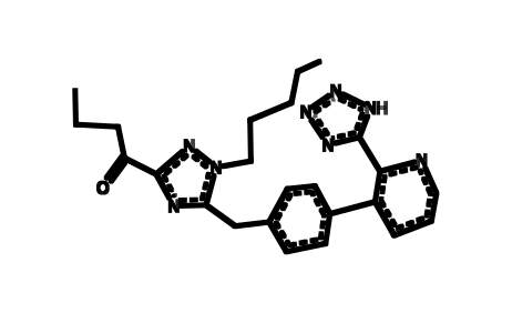 CCCCCn1nc(C(=O)CCC)nc1Cc1ccc(-c2cccnc2-c2nnn[nH]2)cc1